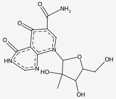 CC1(O)C(O)C(CO)OC1n1cc(C(N)=O)c(=O)c2c(=O)[nH]cnc21